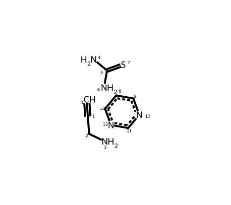 C#CCN.NC(N)=S.c1cncnc1